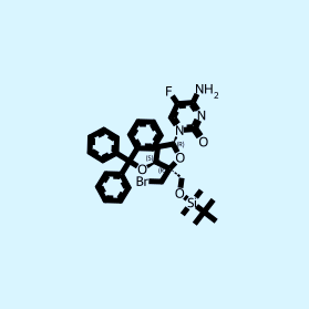 CC(C)(C)[Si](C)(C)OC[C@@]1(CBr)O[C@@H](n2cc(F)c(N)nc2=O)C[C@@H]1OC(c1ccccc1)(c1ccccc1)c1ccccc1